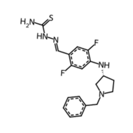 NC(=S)N/N=C/c1cc(F)c(N[C@@H]2CCN(Cc3ccccc3)C2)cc1F